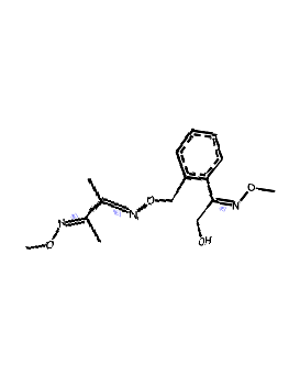 CO/N=C(C)/C(C)=N/OCc1ccccc1/C(CO)=N\OC